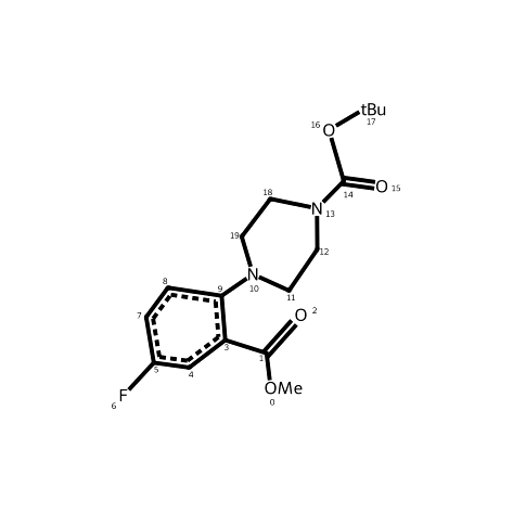 COC(=O)c1cc(F)ccc1N1CCN(C(=O)OC(C)(C)C)CC1